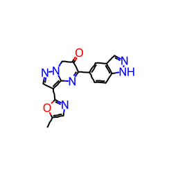 Cc1cnc(-c2cnn3c2N=C(c2ccc4[nH]ncc4c2)C(=O)C3)o1